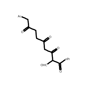 CCCC(=O)C([C]=O)C(=O)CC(=O)CCC(=O)CC(C)=O